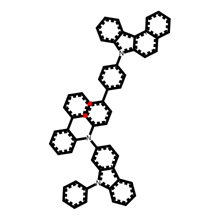 c1ccc(-c2ccccc2N(c2ccc(-c3ccc(-n4c5ccccc5c5c6ccccc6ccc54)cc3)cc2)c2ccc3c4ccccc4n(-c4ccccc4)c3c2)cc1